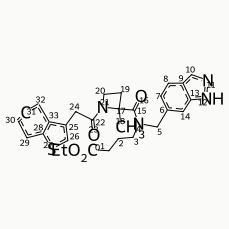 CCOC(=O)CCCN(Cc1ccc2cn[nH]c2c1)C(=O)C1(C)CCN1C(=O)Cc1csc2ccccc12